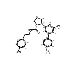 N#Cc1ccc(CCNC(=O)[C@@H]2CCCN2c2cc(-c3ccc(C(F)(F)F)cc3)nc(C(F)(F)F)n2)cc1